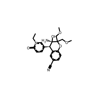 CCn1cc([C@@H]2c3cc(C#N)ccc3OC(COC)(COC)[C@@]2(N)O)ccc1=O